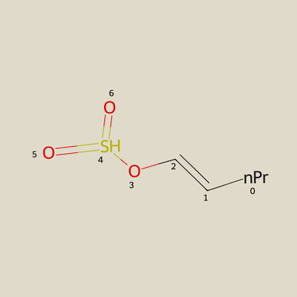 CCCC=CO[SH](=O)=O